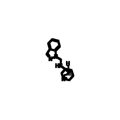 c1ccc2c(c1)cnn2CN[C@@H]1CN2CCC1CC2